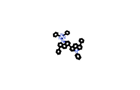 c1ccc(-c2nc(-c3ccccc3)nc(-n3c4ccc(-c5ccccc5)c5ccc6c(-c7ccc8c9c7ccc7c(-c%10ccccc%10)ccc(c79)n8-c7ccccc7)ccc3c6c54)n2)cc1